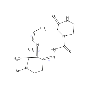 C\C=C/N=C1/C(=N\NC(=S)N2CCNC(=O)C2)CCN(C(C)=O)C1(C)C